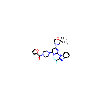 CC1(C)CN(c2cc(N3CCN(C(=O)c4ccco4)CC3)nc(-n3c(C(F)F)nc4ccccc43)n2)CCO1